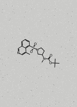 Cc1cncc2cccc(S(=O)(=O)N3CCC(N(C)C(=O)OC(C)(C)C)C3)c12